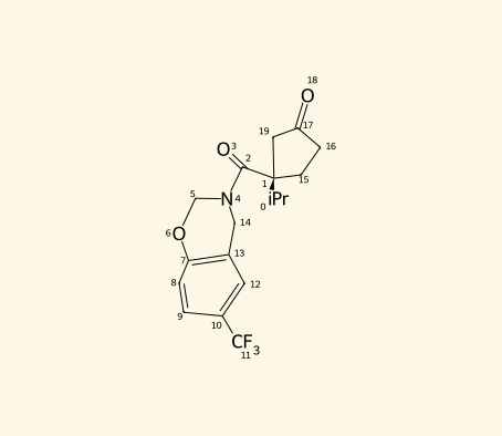 CC(C)[C@]1(C(=O)N2COc3ccc(C(F)(F)F)cc3C2)CCC(=O)C1